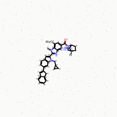 COc1cc(C(=O)N2C[C@H]3CCC2C3N)cc2nc(-c3cc4ccc(C5=Cc6ccccc6C5)cc4n3CC3CC3)n(C)c12